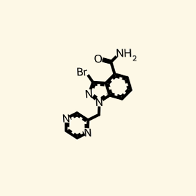 NC(=O)c1cccc2c1c(Br)nn2Cc1cnccn1